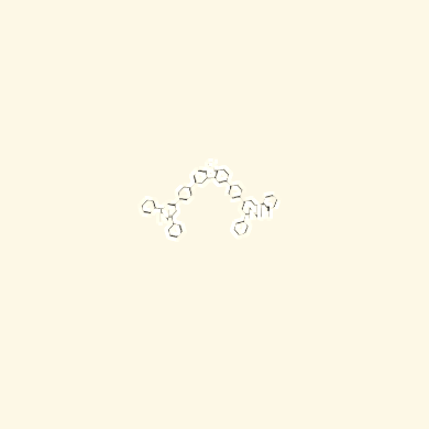 C1=C(c2ccc(-c3ccc4sc5ccc(-c6ccc(-c7cc(-c8ccccc8)nc(-c8ccccc8)c7)cc6)cc5c4c3)cc2)C=C(c2ccccc2)NC1c1ccccc1